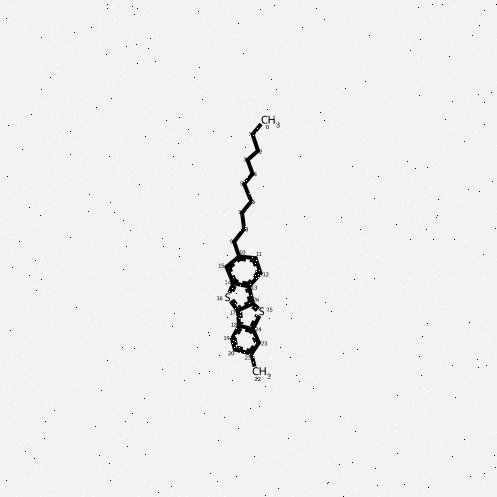 CCCCCCCCCCc1ccc2c(c1)sc1c3ccc(C)cc3sc21